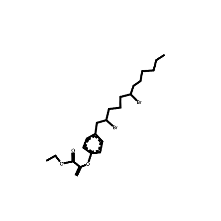 C=C(Oc1ccc(CC(Br)CCCC(Br)CCCCCC)cc1)C(=O)OCC